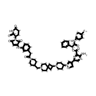 Nc1ncc(-c2cnn(C3CCN(C4CC5(CCN(CC6CCN(C(=O)Cc7cccc(NC8=CC(=O)N(C9CCC(=O)NC9=O)C8=O)c7)CC6)CC5)C4)CC3)c2)nc1C(=O)O[C@@H](C(=O)Nc1ccc(F)cc1)c1ccccc1